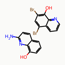 Nc1ccc2cccc(O)c2n1.Oc1c(Br)cc(Br)c2cccnc12